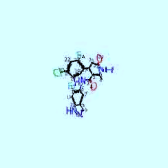 CC1=C(C(=O)Nc2cc3cn[nH]c3cc2F)C(c2ccc(Cl)cc2F)CC(=O)N1